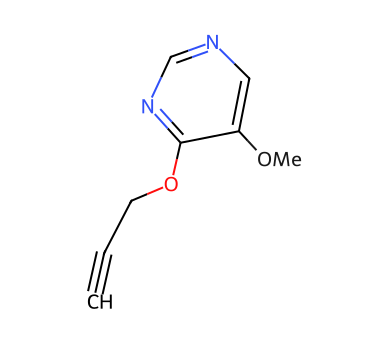 C#CCOc1ncncc1OC